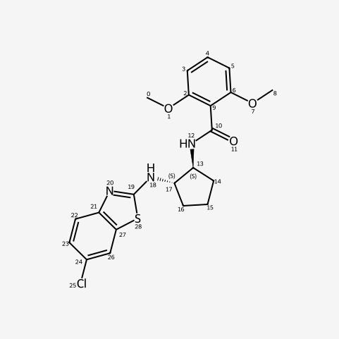 COc1cccc(OC)c1C(=O)N[C@H]1CCC[C@@H]1Nc1nc2ccc(Cl)cc2s1